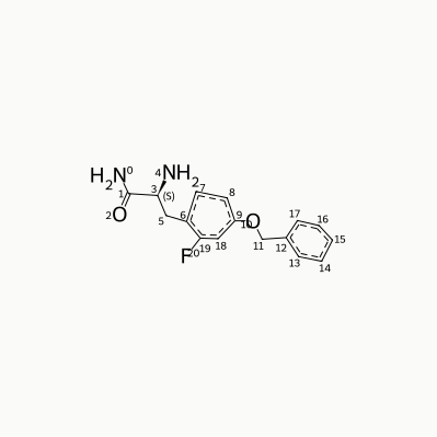 NC(=O)[C@@H](N)Cc1ccc(OCc2ccccc2)cc1F